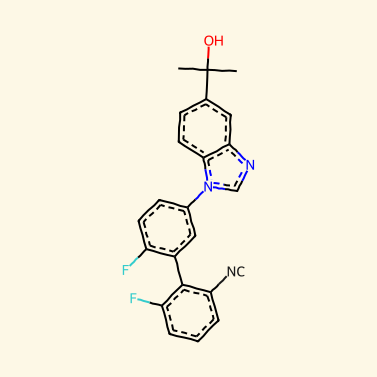 [C-]#[N+]c1cccc(F)c1-c1cc(-n2cnc3cc(C(C)(C)O)ccc32)ccc1F